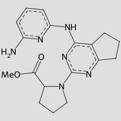 COC(=O)C1CCCN1c1nc2c(c(Nc3cccc(N)n3)n1)CCC2